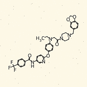 CCN(CC(=O)N1CCN(Cc2ccc3c(c2)OCO3)CC1)c1ccc(Oc2ccc(NC(=O)c3ccc(C(F)(F)F)cc3)cn2)cc1